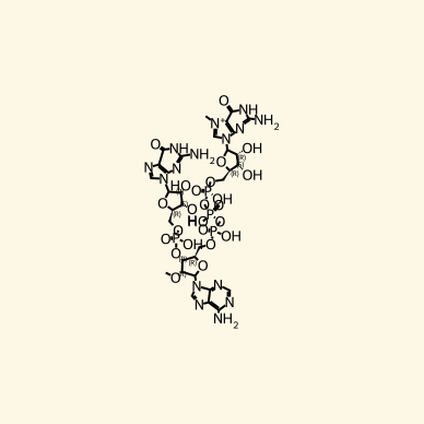 CO[C@H]1C(n2cnc3c(N)ncnc32)O[C@H](COP(=O)(O)OP(=O)(O)OP(=O)(O)OC[C@H]2OC(n3c[n+](C)c4c(=O)[nH]c(N)nc43)[C@H](O)[C@@H]2O)[C@H]1OP(=O)(O)OC[C@H]1OC(n2cnc3c(=O)[nH]c(N)nc32)[C@H](O)[C@@H]1O